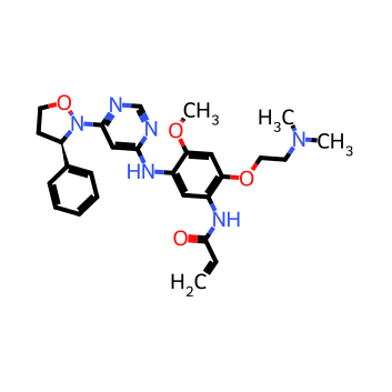 C=CC(=O)Nc1cc(Nc2cc(N3OCC[C@@H]3c3ccccc3)ncn2)c(OC)cc1OCCN(C)C